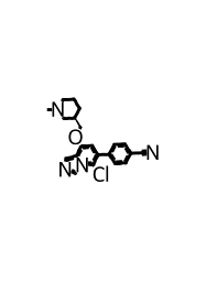 CN1CCC[C@@H](COc2cc(-c3ccc(C#N)cc3)c(Cl)n3cncc23)C1